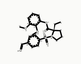 CC[C@@]1(C(=O)Oc2cccc(OC)c2OC)CCCN1S(=O)(=O)c1ccc(C=O)cc1